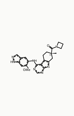 COc1cc2[nH]ncc2cc1Nc1ncnc2sc3c(c12)CC[C@](C)(C(=O)N1CCC1)C3